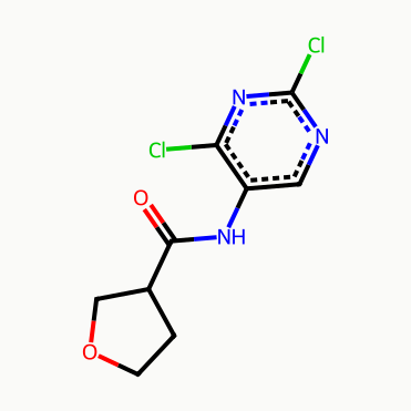 O=C(Nc1cnc(Cl)nc1Cl)C1CCOC1